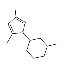 Cc1cc(C)n(C2CCCC(C)C2)n1